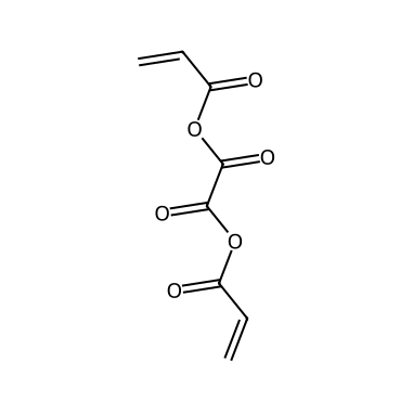 C=CC(=O)OC(=O)C(=O)OC(=O)C=C